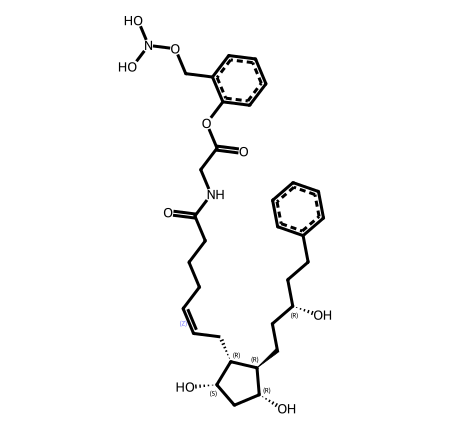 O=C(CCC/C=C\C[C@@H]1[C@@H](CC[C@@H](O)CCc2ccccc2)[C@H](O)C[C@@H]1O)NCC(=O)Oc1ccccc1CON(O)O